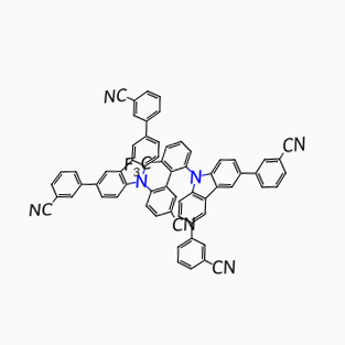 N#Cc1cccc(-c2ccc3c(c2)c2cc(-c4cccc(C#N)c4)ccc2n3-c2ccc(C#N)cc2-c2c(-n3c4ccc(-c5cccc(C#N)c5)cc4c4cc(-c5cccc(C#N)c5)ccc43)cccc2C(F)(F)F)c1